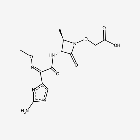 CON=C(C(=O)N[C@H]1C(=O)N(OCC(=O)O)[C@@H]1C)c1csc(N)n1